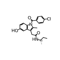 CC[C@H](C)NC(=O)Cc1c(C)n(C(=O)c2ccc(Cl)cc2)c2ccc(O)cc12